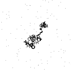 CC(C)c1csc(-c2cc(O[C@@H]3C[C@@H](C(N)=O)N(C(=O)[C@H](CCCCC/C=C\[C@@H]4C[C@@H]4C(=O)NS(=O)(=O)C4(C)CC4)NC(=O)OC(C)(C)C)C3)c3c(n2)CCCC3)n1